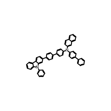 c1ccc(-c2ccc(N(c3ccc(-c4ccc(-c5ccc6c7ccccc7n(-c7ccccc7)c6c5)cc4)cc3)c3ccc4ccccc4c3)cc2)cc1